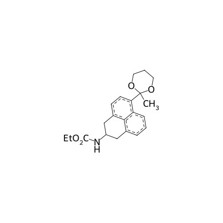 CCOC(=O)NC1Cc2cccc3c(C4(C)OCCCO4)ccc(c23)C1